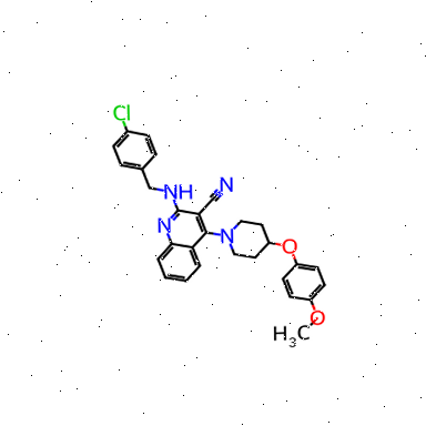 COc1ccc(OC2CCN(c3c(C#N)c(NCc4ccc(Cl)cc4)nc4ccccc34)CC2)cc1